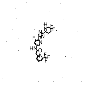 O=C(Cc1cccc(C(F)(F)F)n1)Nc1cnc(-n2cnc([C@@H]3CCC(F)(F)CN3)n2)c(F)c1